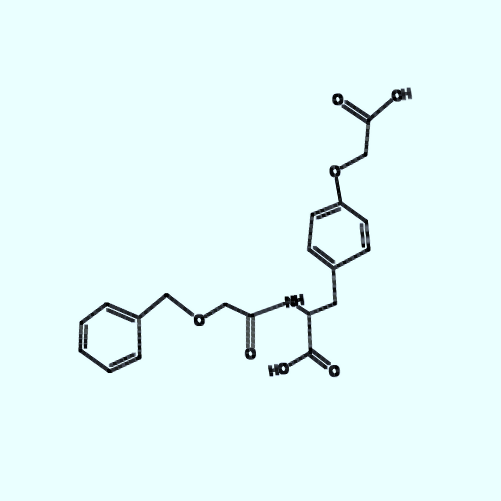 O=C(O)COc1ccc(CC(NC(=O)COCc2ccccc2)C(=O)O)cc1